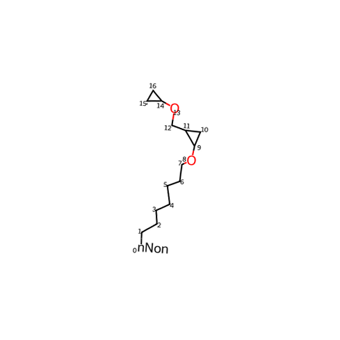 [CH2]CCCCCCCCCCCCCCCOC1CC1COC1[CH]C1